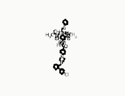 CC(C)N(C)CC[C@H](CSc1ccccc1)Nc1ccc(S(=O)(=O)NC(=O)c2ccc(N3CCN(Cc4ccccc4-c4ccc(Cl)cc4)CC3)cc2)cc1S(C)(=O)=O